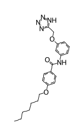 CCCCCCCOc1ccc(C(=O)Nc2cccc(OCc3nnn[nH]3)c2)cc1